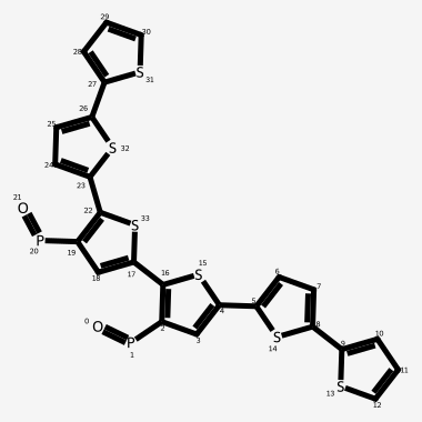 O=Pc1cc(-c2ccc(-c3cccs3)s2)sc1-c1cc(P=O)c(-c2ccc(-c3cccs3)s2)s1